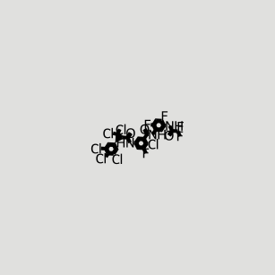 O=C(Nc1cc(NC(=O)C(F)F)c(F)cc1F)c1cc(NC(=O)C2[C@H](c3cc(Cl)c(Cl)c(Cl)c3)C2(Cl)Cl)cc(F)c1Cl